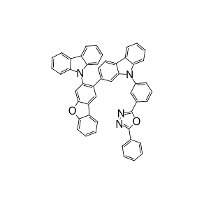 c1ccc(-c2nnc(-c3cccc(-n4c5ccccc5c5ccc(-c6cc7c(cc6-n6c8ccccc8c8ccccc86)oc6ccccc67)cc54)c3)o2)cc1